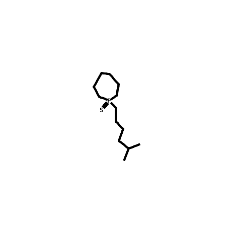 CC(C)CCCCP1(=S)CCCCCC1